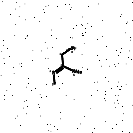 C/N=C(/CC(C)C)NC